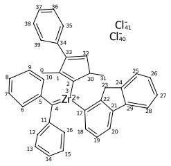 CC1=[C]([Zr+2](=[C](c2ccccc2)c2ccccc2)[c]2cccc3c2Cc2ccccc2-3)C(C)C=C1c1ccccc1.[Cl-].[Cl-]